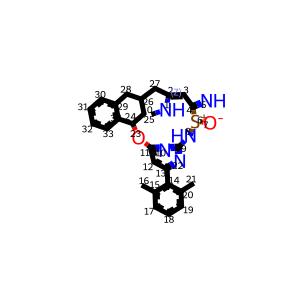 CN/C1=C\C(=N)[S+]([O-])Nc2nc(cc(-c3c(C)cccc3C)n2)OC2CC(C1)Cc1ccccc12